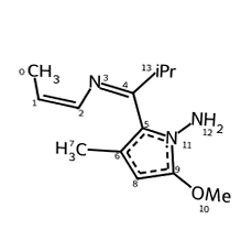 C/C=C\N=C(/c1c(C)cc(OC)n1N)C(C)C